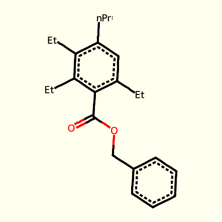 CC[C]c1cc(CC)c(C(=O)OCc2ccccc2)c(CC)c1CC